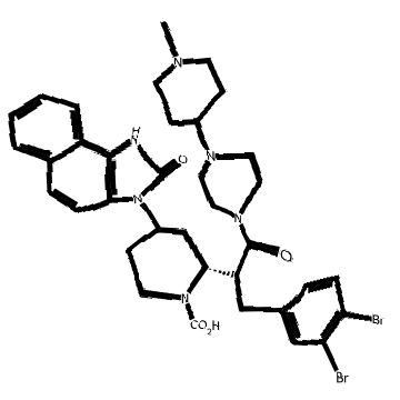 CN1CCC(N2CCN(C(=O)C(Cc3ccc(Br)c(Br)c3)[C@H]3CC(n4c(=O)[nH]c5c6ccccc6ccc54)CCN3C(=O)O)CC2)CC1